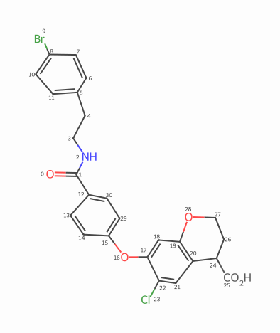 O=C(NCCc1ccc(Br)cc1)c1ccc(Oc2cc3c(cc2Cl)C(C(=O)O)CCO3)cc1